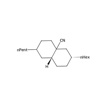 CCCCCC[C@@H]1CC[C@@H]2CC(CCCCC)CCC2(C#N)C1